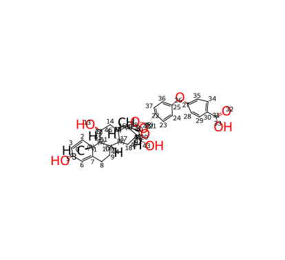 C[C@]12C=CC(O)C=C1CC[C@@H]1[C@@H]2[C@@H](O)C[C@@]2(C)[C@H]1C[C@H]1O[C@@H](c3ccc(Oc4ccc(C(=O)O)cc4)cc3)O[C@]12C(=O)CO